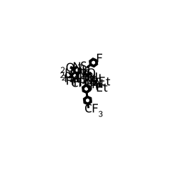 [2H]C([2H])(C(=O)N(Cc1ccc(-c2ccc(C(F)(F)F)cc2)cc1)C([2H])([2H])C([2H])([2H])N(CC)CC)n1c(SCc2ccc(F)cc2)nc(=O)c2c1C([2H])([2H])C([2H])(C)C2([2H])[2H]